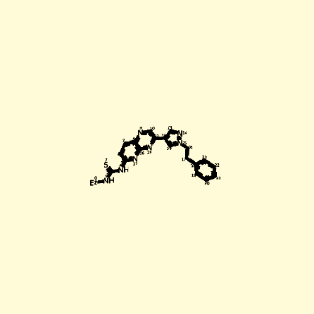 CCNC(=S)Nc1ccc2ncc(-c3cnn(CCc4ccccc4)c3)nc2n1